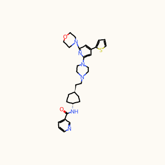 O=C(N[C@H]1CC[C@H](CCN2CCN(c3cc(-c4cccs4)cc(N4CCOCC4)n3)CC2)CC1)c1cccnc1